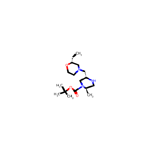 CC[C@@H]1CN(C[C@H]2CN(C(=O)OC(C)(C)C)[C@H](C)CN2)CCO1